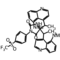 CNc1cccc2nccc(C(C)C3(C(C)c4ccnc5cccc(NC)c45)NC(=O)N(c4ccc(S(=O)(=O)C(F)(F)F)cc4)C3=O)c12